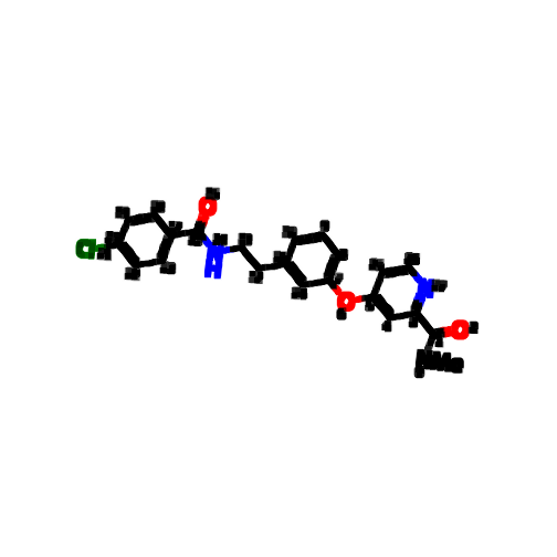 CNC(=O)c1cc(Oc2cccc(CCNC(=O)c3ccc(Cl)cc3)c2)ccn1